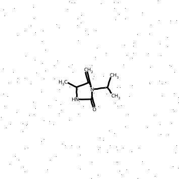 C=C1C(C)NC(=O)N1C(C)C